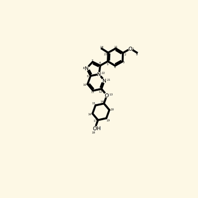 COc1ccc(-c2cnc3ccc(OC4CCC(O)CC4)nn23)c(C)c1